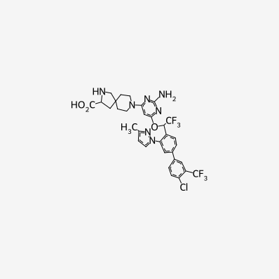 Cc1ccn(-c2cc(-c3ccc(Cl)c(C(F)(F)F)c3)ccc2C(Oc2cc(N3CCC4(CC3)CNC(C(=O)O)C4)nc(N)n2)C(F)(F)F)n1